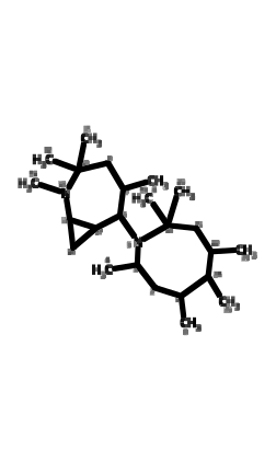 CC1CC(C)N(C2C(C)CC(C)(C)N(C)C3CC32)C(C)(C)CC(C)C1C